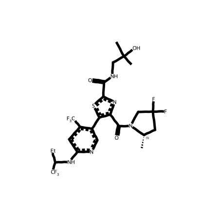 CCC(Nc1cc(C(F)(F)F)c(-c2sc(C(=O)NCC(C)(C)O)nc2C(=O)N2CC(F)(F)C[C@@H]2C)cn1)C(F)(F)F